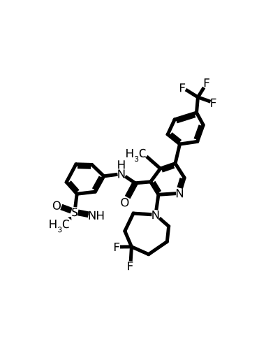 Cc1c(-c2ccc(C(F)(F)F)cc2)cnc(N2CCCC(F)(F)CC2)c1C(=O)Nc1cccc([S@](C)(=N)=O)c1